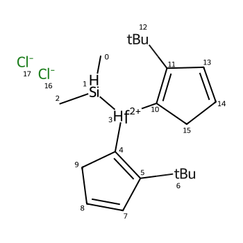 C[SiH](C)[Hf+2]([C]1=C(C(C)(C)C)C=CC1)[C]1=C(C(C)(C)C)C=CC1.[Cl-].[Cl-]